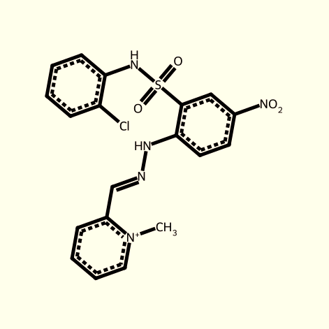 C[n+]1ccccc1/C=N/Nc1ccc([N+](=O)[O-])cc1S(=O)(=O)Nc1ccccc1Cl